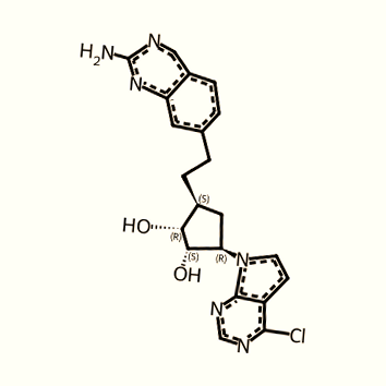 Nc1ncc2ccc(CC[C@H]3C[C@@H](n4ccc5c(Cl)ncnc54)[C@H](O)[C@@H]3O)cc2n1